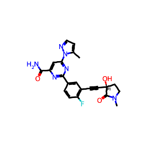 Cc1ccnn1-c1cc(C(N)=O)nc(-c2ccc(F)c(C#C[C@]3(O)CCN(C)C3=O)c2)n1